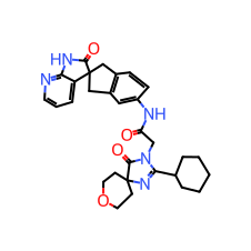 O=C(CN1C(=O)C2(CCOCC2)N=C1C1CCCCC1)Nc1ccc2c(c1)CC1(C2)C(=O)Nc2ncccc21